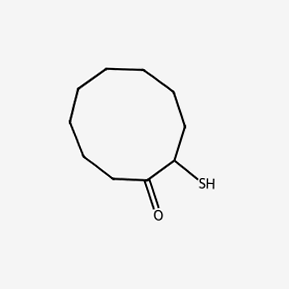 O=C1CCCCCCCCC1S